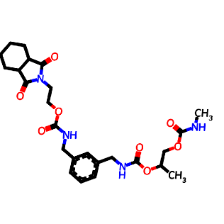 CNC(=O)OCC(C)OC(=O)NCc1cccc(CNC(=O)OCCN2C(=O)C3CCCCC3C2=O)c1